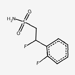 NS(=O)(=O)CC(F)c1ccccc1F